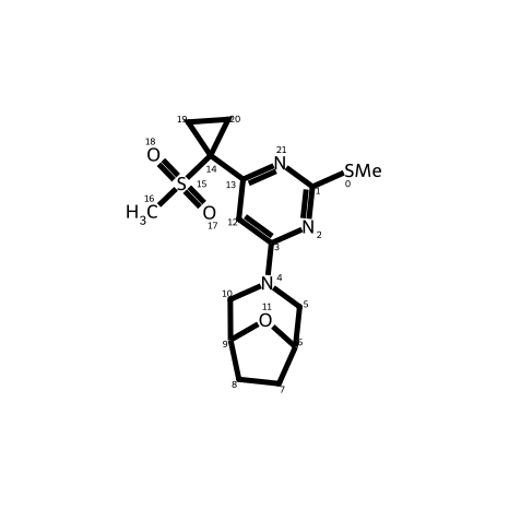 CSc1nc(N2CC3CCC(C2)O3)cc(C2(S(C)(=O)=O)CC2)n1